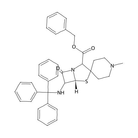 CN1CCC2(CC1)S[C@@H]1C(NC(c3ccccc3)(c3ccccc3)c3ccccc3)C(=O)N1C2C(=O)OCc1ccccc1